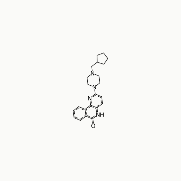 O=c1[nH]c2ccc(N3CCN(CC4CCCC4)CC3)nc2c2ccccc12